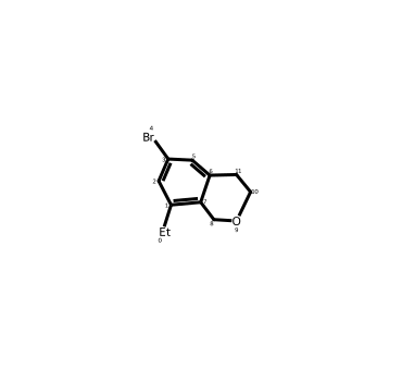 CCc1cc(Br)cc2c1COCC2